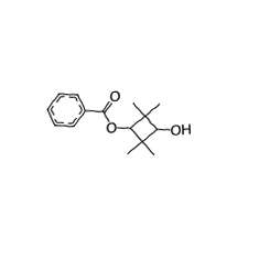 CC1(C)C(O)C(C)(C)C1OC(=O)c1ccccc1